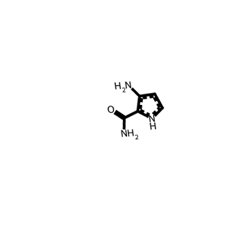 NC(=O)c1[nH]ccc1N